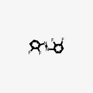 Fc1cccc(/N=N/c2cccc(F)c2F)c1F